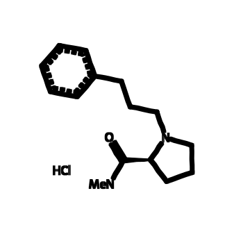 CNC(=O)[C@@H]1CCCN1CCCc1ccccc1.Cl